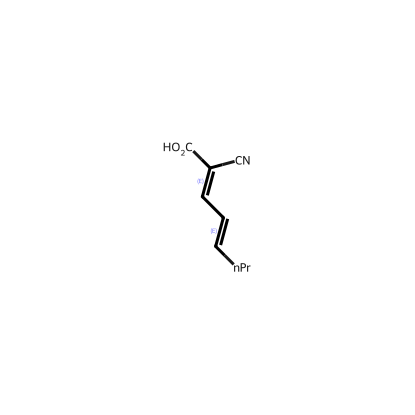 CCC/C=C/C=C(\C#N)C(=O)O